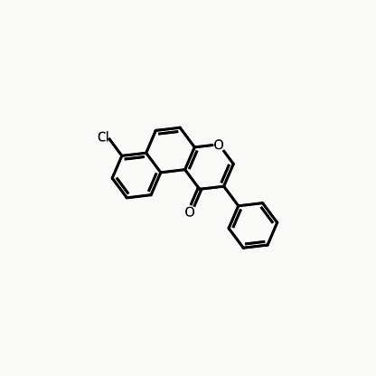 O=c1c(-c2ccccc2)coc2ccc3c(Cl)cccc3c12